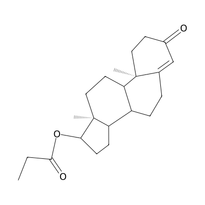 CCC(=O)OC1CCC2C3CCC4=CC(=O)CC[C@]4(C)C3CC[C@]12C